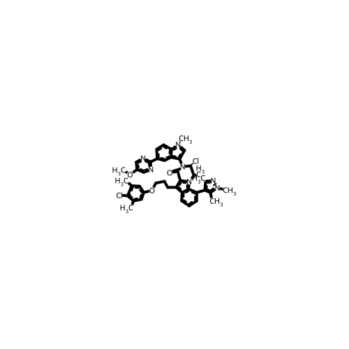 COc1cnc(-c2ccc3c(c2)c(N2C(=O)c4c(CCCOc5cc(C)c(Cl)c(C)c5)c5cccc(-c6c(C)nn(C)c6C)c5n4C(C)[C@H]2Cl)cn3C)nc1